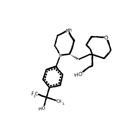 OCC1(C[C@H]2CNCCN2c2ccc(C(O)(C(F)(F)F)C(F)(F)F)cc2)CCOCC1